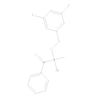 CC(Br)(OCc1cc(F)cc(F)c1)C(=O)c1ccccc1